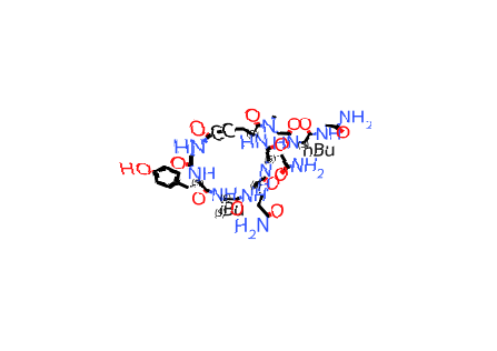 CCCC[C@H](NC(=O)CN(C)C(=O)[C@@H]1CCCC(=O)NCC(=O)N[C@@H](Cc2ccc(O)cc2)C(=O)N[C@@H]([C@@H](C)CC)C(=O)N[C@@H](CCC(N)=O)C(=O)N[C@@H](CC(N)=O)C(=O)N1)C(=O)NCC(N)=O